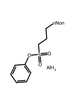 CCCCCCCCCCCCS(=O)(=O)Oc1ccccc1.[AlH3]